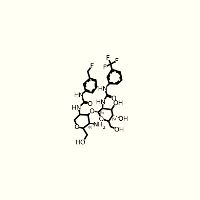 N[C@H]1C(CO)OCC(NC(=O)Nc2cccc(CF)c2)C1O[C@@H]1OC(CO)[C@@H](O)C(O)C1NC(=O)Nc1cccc(C(F)(F)F)c1